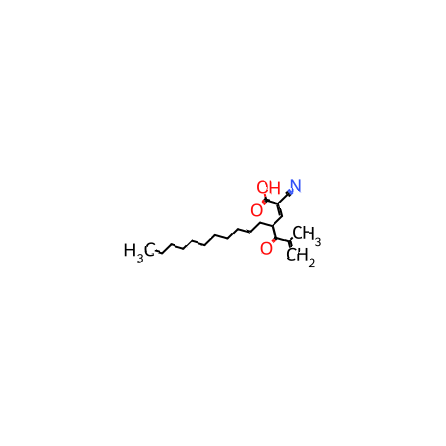 C=C(C)C(=O)C(C=C(C#N)C(=O)O)CCCCCCCCCCC